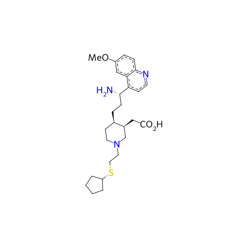 COc1ccc2nccc([C@@H](N)CC[C@@H]3CCN(CCSC4CCCC4)C[C@@H]3CC(=O)O)c2c1